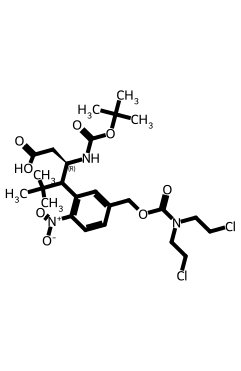 CC(C)(C)OC(=O)N[C@H](CC(=O)O)C(c1cc(COC(=O)N(CCCl)CCCl)ccc1[N+](=O)[O-])C(C)(C)C